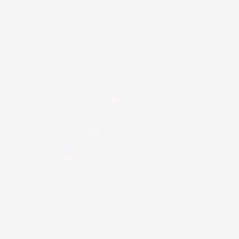 CCOC(=O)CSc1ccc(OCCC(C)Oc2ccc(Cl)cc2-c2noc3ccccc23)cc1C